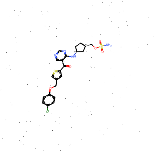 NS(=O)(=O)OC[C@@H]1CC[C@H](Nc2ncncc2C(=O)c2cc(COc3ccc(Cl)cc3)cs2)C1